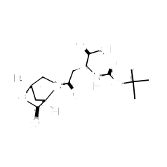 CC(C)(C)OC(=O)N[C@@H](CC(=O)N1C[C@H]2C[C@@H]1C(=O)O2)C(=O)O